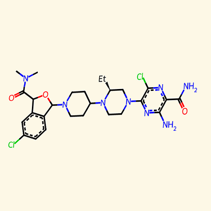 CC[C@H]1CN(c2nc(N)c(C(N)=O)nc2Cl)CCN1C1CCN(C2OC(C(=O)N(C)C)c3cc(Cl)ccc32)CC1